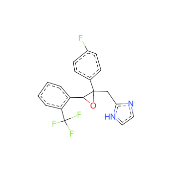 Fc1ccc(C2(Cc3ncc[nH]3)OC2c2ccccc2C(F)(F)F)cc1